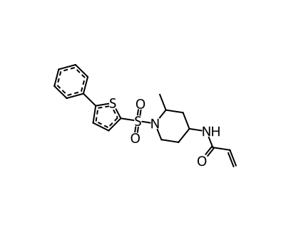 C=CC(=O)NC1CCN(S(=O)(=O)c2ccc(-c3ccccc3)s2)C(C)C1